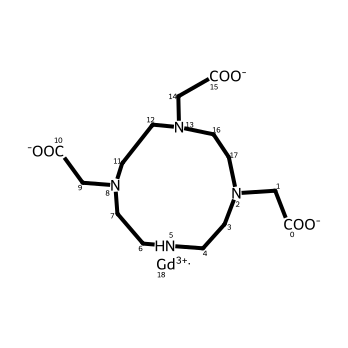 O=C([O-])CN1CCNCCN(CC(=O)[O-])CCN(CC(=O)[O-])CC1.[Gd+3]